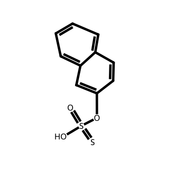 O=S(O)(=S)Oc1ccc2ccccc2c1